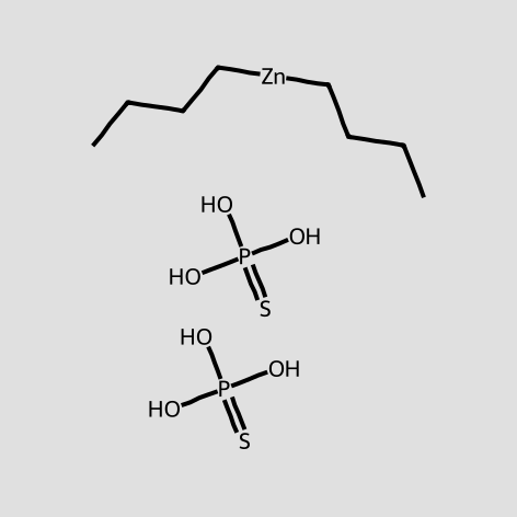 CCC[CH2][Zn][CH2]CCC.OP(O)(O)=S.OP(O)(O)=S